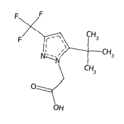 CC(C)(C)c1cc(C(F)(F)F)nn1CC(=O)O